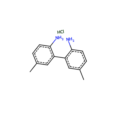 Cc1ccc(N)c(-c2cc(C)ccc2N)c1.Cl